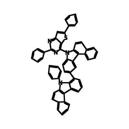 c1ccc(-c2nc(-n3c4ccc(-c5cccc6c7c8ccccc8ccc7n(-c7ccccc7)c56)cc4c4c5ccccc5ccc43)c3sc(-c4ccccc4)cc3n2)cc1